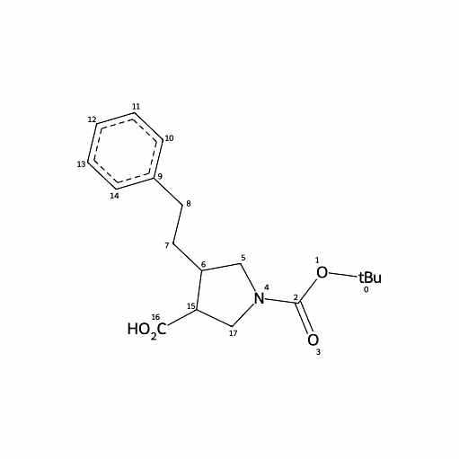 CC(C)(C)OC(=O)N1CC(CCc2ccccc2)C(C(=O)O)C1